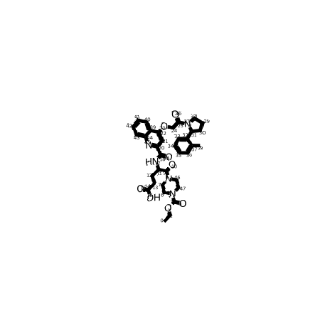 CCOC(=O)N1CCN(C(=O)C(CCC(=O)O)NC(=O)c2cc(OCC(=O)N3CCCC3c3ccccc3C)c3ccccc3n2)CC1